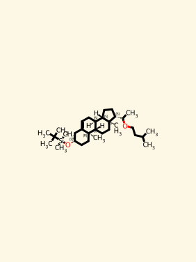 CC(C)CCOC(C)[C@H]1CC[C@H]2[C@@H]3CC=C4C[C@@H](O[Si](C)(C)C(C)(C)C)CC[C@]4(C)[C@H]3CC[C@]12C